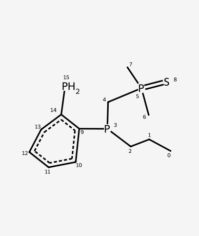 CCCP(CP(C)(C)=S)c1ccccc1P